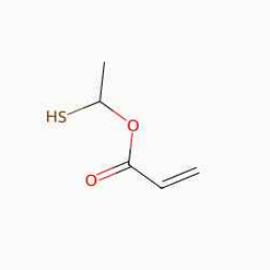 C=CC(=O)OC(C)S